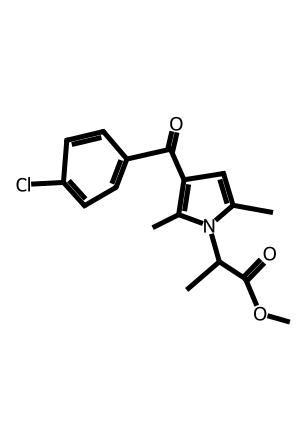 COC(=O)C(C)n1c(C)cc(C(=O)c2ccc(Cl)cc2)c1C